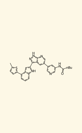 CCCCC(=O)Nc1cncc(-c2cnc3[nH]nc(-c4cc5c(-c6ccc(C)s6)cccc5[nH]4)c3c2)c1